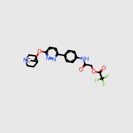 O=C(COC(=O)C(F)(F)F)Nc1ccc(-c2ccc(OC3CN4CCC3CC4)nn2)cc1